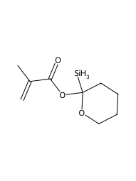 C=C(C)C(=O)OC1([SiH3])CCCCO1